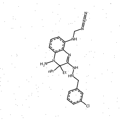 CCCC1(CC)C(NNCc2cccc(Cl)c2)=Nc2c(NCN=[N+]=[N-])cccc2N1N